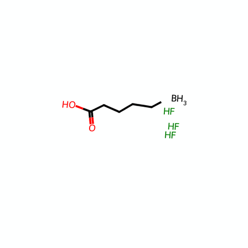 B.CCCCCC(=O)O.F.F.F